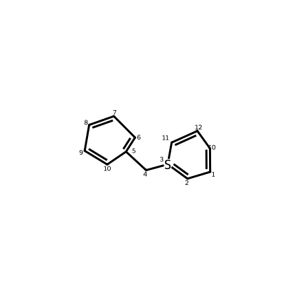 [C]1=CC=S(Cc2ccccc2)C=C1